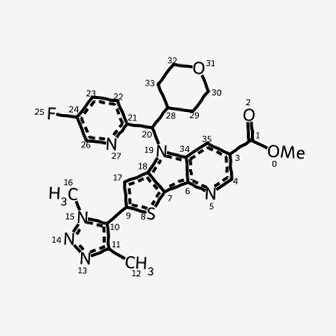 COC(=O)c1cnc2c3sc(-c4c(C)nnn4C)cc3n(C(c3ccc(F)cn3)C3CCOCC3)c2c1